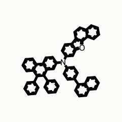 c1ccc(-c2c(-c3ccccc3)c3cc(N(c4ccc(-c5cccc6ccccc56)cc4)c4ccc5c(c4)oc4c6ccccc6ccc54)ccc3c3ccccc23)cc1